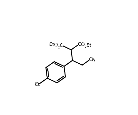 CCOC(=O)C(C(=O)OCC)C(CC#N)c1ccc(CC)cc1